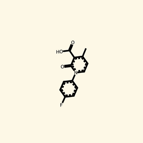 Cc1ccn(-c2ccc(F)cc2)c(=O)c1C(=O)O